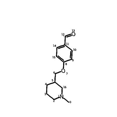 CN1CCCC(COc2ccc([C]=O)cc2)C1